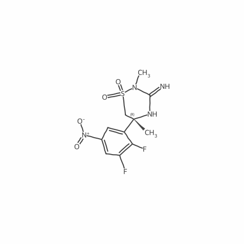 CN1C(=N)N[C@](C)(c2cc([N+](=O)[O-])cc(F)c2F)CS1(=O)=O